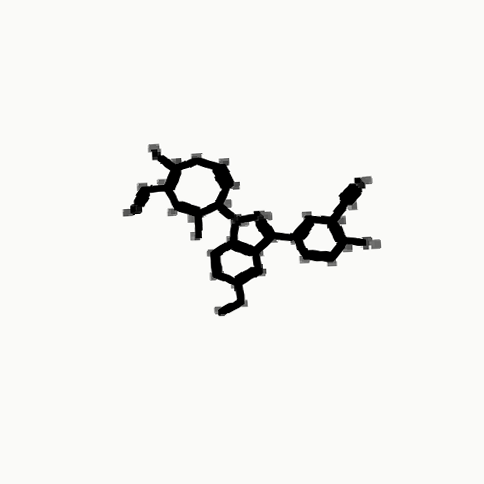 CCc1ccc2c(c1)c(-c1ccc(F)c(C#N)c1)nn2C1C#CC/C(F)=C(C=O)\C=C/1C